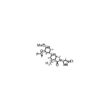 CCn1cc(N2Cc3nc(-c4cnc(OC)c(OC(F)F)c4)cc(C)c3C2=O)cn1